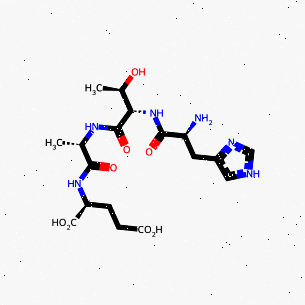 C[C@H](NC(=O)[C@@H](NC(=O)[C@@H](N)Cc1c[nH]cn1)[C@@H](C)O)C(=O)N[C@@H](CCC(=O)O)C(=O)O